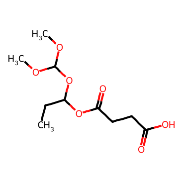 CCC(OC(=O)CCC(=O)O)OC(OC)OC